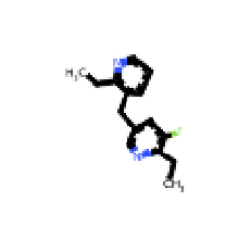 CCc1ncc(Cc2cccnc2CC)cc1F